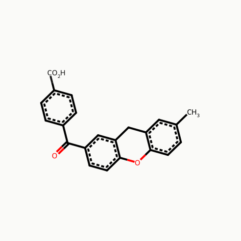 Cc1ccc2c(c1)Cc1cc(C(=O)c3ccc(C(=O)O)cc3)ccc1O2